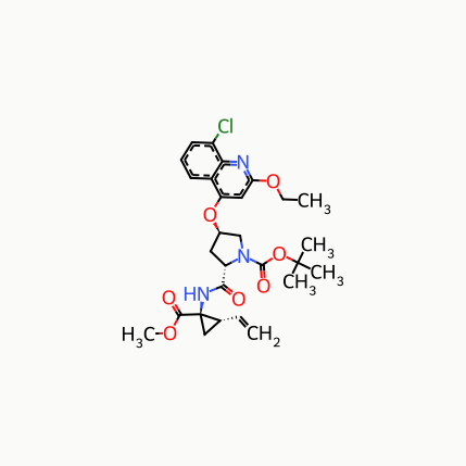 C=C[C@@H]1C[C@]1(NC(=O)[C@@H]1C[C@@H](Oc2cc(OCC)nc3c(Cl)cccc23)CN1C(=O)OC(C)(C)C)C(=O)OC